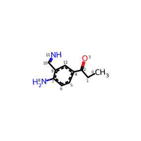 CCC(=O)c1ccc(N)c(C=N)c1